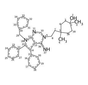 CC1(O)CCC(C)(CCn2cnc3c(c(-c4ccccc4)c(-c4ccccc4)n3Cc3ccccc3)c2=N)CC1